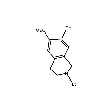 CCN1CCc2cc(OC)c(O)cc2C1